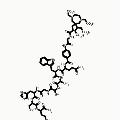 CSCCC(NC(=O)C(CC(C)C)NC(=O)C(Cc1cnc[nH]1)NC(=O)CNC(=O)C(NC(=O)C(C)NC(=O)C(Cc1c[nH]c2ccccc12)NC(=O)C(CCC(N)=O)NC(=O)c1ccc(NC(=O)CNC(=O)CCC2(C(CC(=O)O)CC(=O)O)CN(CC(=O)O)CCN(CC(=O)O)C2)cc1)C(C)C)C(N)=O